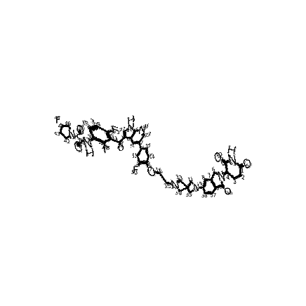 O=C1CCC(N2Cc3cc(N4CC5(CN(CCOc6ccc(-c7cnc8[nH]cc(C(=O)c9c(F)ccc(NS(=O)(=O)N%10CC[C@@H](F)C%10)c9F)c8c7)cc6F)C5)C4)ccc3C2=O)C(=O)N1